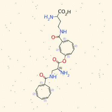 NC(CCNC(=O)C1=C/C=C\C=C(OC(=O)[C@@H](N)CNC(=O)C2=C/C=C\C=C/C=C\2)/C=C\1)C(=O)O